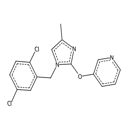 Cc1cn(Cc2cc(Cl)ccc2Cl)c(Oc2cccnc2)n1